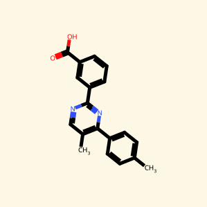 Cc1ccc(-c2nc(-c3cccc(C(=O)O)c3)ncc2C)cc1